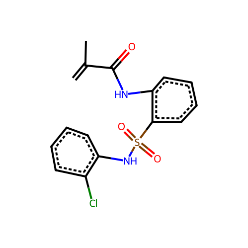 C=C(C)C(=O)Nc1ccccc1S(=O)(=O)Nc1ccccc1Cl